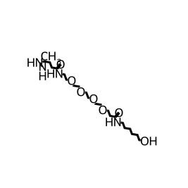 CC1(CCC(=O)NCCOCCOCCOCCOCCC(=O)NCCCCCCO)NN1